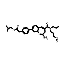 CCCN(CCCN=O)C(=O)C1=CC2=CC=C(c3ccc(CC(=O)OCC(C)C)cc3)CC2NC(N)C1